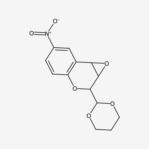 O=[N+]([O-])c1ccc2c(c1)C1OC1C(C1OCCCO1)O2